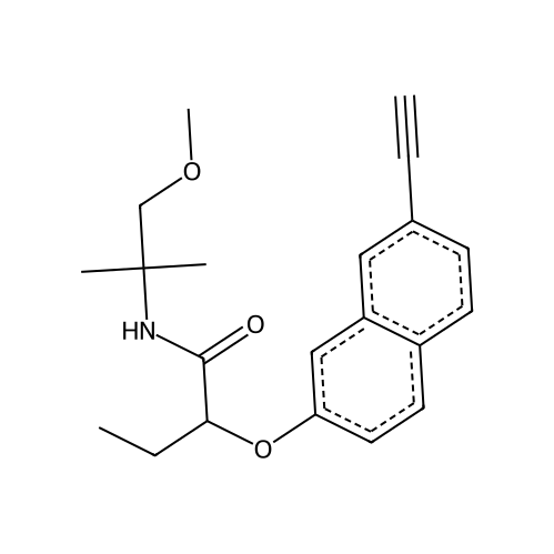 C#Cc1ccc2ccc(OC(CC)C(=O)NC(C)(C)COC)cc2c1